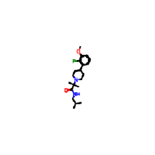 COc1cccc(C2=CCN(C(C)(C)C(=O)NCC(C)C)CC2)c1F